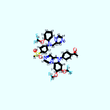 CC(=O)c1ccc(N(Cc2cnccn2)c2ccc(OC(F)F)c(OC(F)F)c2)cc1.CS(=O)(=O)c1ccc(N(Cc2cnccn2)c2ccccc2OC(F)F)cc1